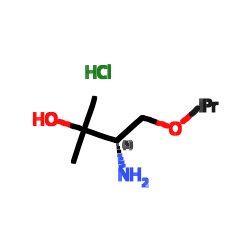 CC(C)OC[C@H](N)C(C)(C)O.Cl